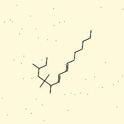 CCCCCCC=CC=CC(C)C(C)(C)CC(C)CC